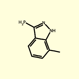 Cc1cccc2c(P)n[nH]c12